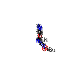 CC(C)(C)OC(=O)N1CCC(n2ncc(COc3ccc(-n4ccnn4)cc3)c2C#N)CC1